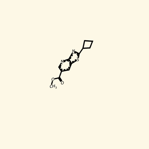 COC(=O)c1cnc2nc(C3CCC3)sc2c1